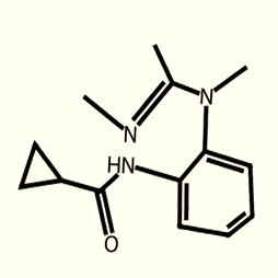 CN=C(C)N(C)c1ccccc1NC(=O)C1CC1